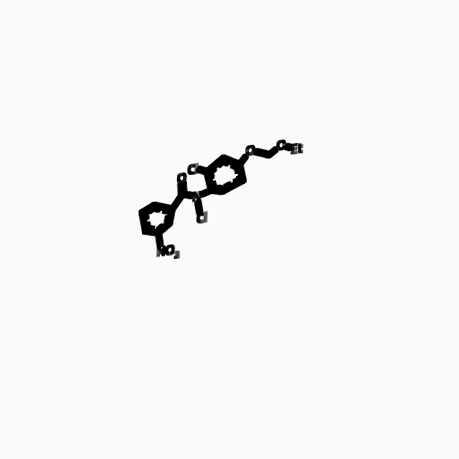 CCOCOc1ccc(N(Cl)C(=O)c2cccc([N+](=O)[O-])c2)c(Cl)c1